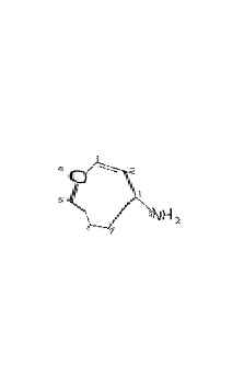 NC1C=COCCC1